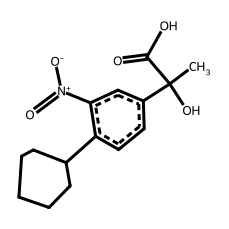 CC(O)(C(=O)O)c1ccc(C2CCCCC2)c([N+](=O)[O-])c1